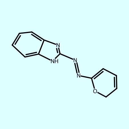 C1=CCOC(N=Nc2nc3ccccc3[nH]2)=C1